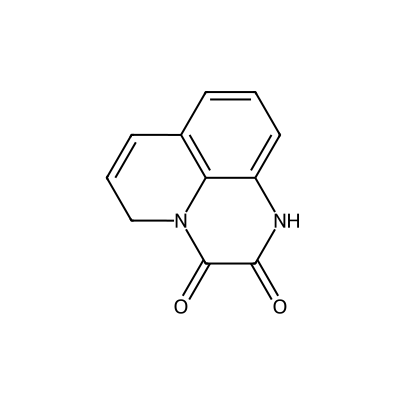 O=c1[nH]c2cccc3c2n(c1=O)CC=C3